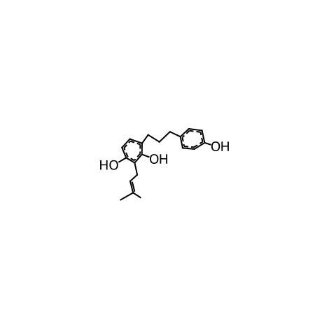 CC(C)=CCc1c(O)ccc(CCCc2ccc(O)cc2)c1O